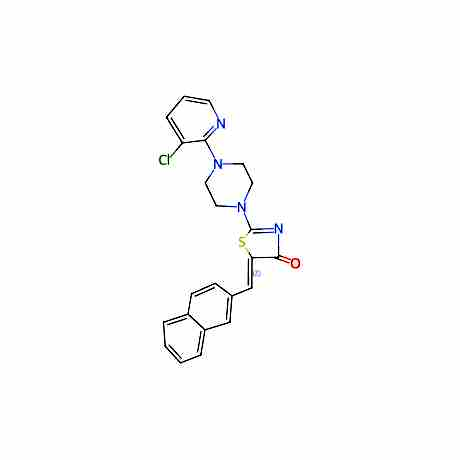 O=C1N=C(N2CCN(c3ncccc3Cl)CC2)S/C1=C\c1ccc2ccccc2c1